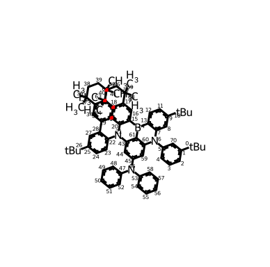 CC(C)(C)c1cccc(N2c3cc(C(C)(C)C)ccc3B3c4cc5c(cc4N(c4ccc(C(C)(C)C)cc4-c4ccc6c(c4)C(C)(C)CCC6(C)C)c4cc(N(c6ccccc6)c6ccccc6)cc2c43)C(C)(C)CCC5(C)C)c1